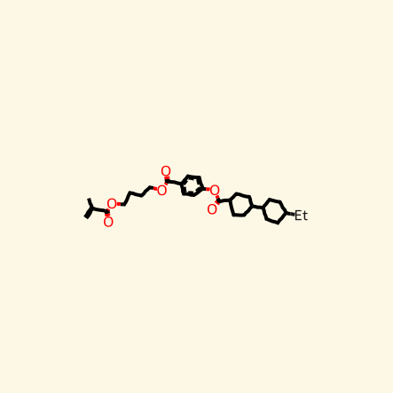 C=C(C)C(=O)OCCCCOC(=O)c1ccc(OC(=O)C2CCC(C3CCC(CC)CC3)CC2)cc1